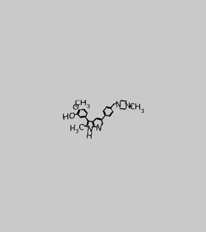 COc1ccc(-c2c(C)[nH]c3ncc(-c4ccc(CN5CCN(C)CC5)cc4)cc23)cc1O